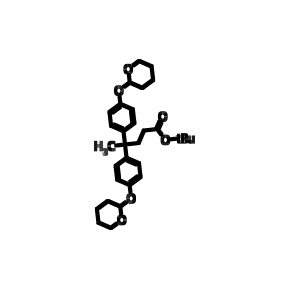 CC(C)(C)OC(=O)CCC(C)(c1ccc(OC2CCCCO2)cc1)c1ccc(OC2CCCCO2)cc1